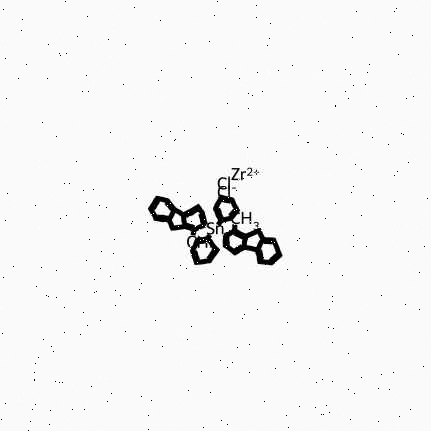 Cc1[c]([Sn]([c]2ccccc2)([c]2ccccc2)[c]2ccc3c(c2C)Cc2ccccc2-3)ccc2c1Cc1ccccc1-2.[Cl-].[Cl-].[Zr+2]